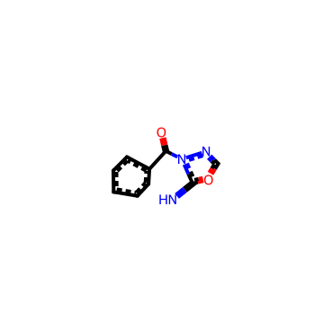 N=c1ocnn1C(=O)c1ccccc1